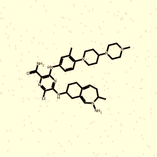 CCc1nc(C(N)=O)c(Nc2ccc(N3CCC(N4CCN(C)CC4)CC3)c(C)c2)nc1NC1CCC2=CCC(C)N(N)C=C2C1